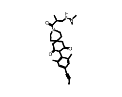 CC#Cc1cc(C)c(C2C(=O)CC3(CCN(C(=O)C(C)CNN(C)C)CC3)CC2=O)c(C)c1